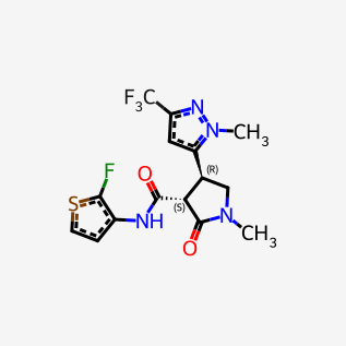 CN1C[C@H](c2cc(C(F)(F)F)nn2C)[C@@H](C(=O)Nc2ccsc2F)C1=O